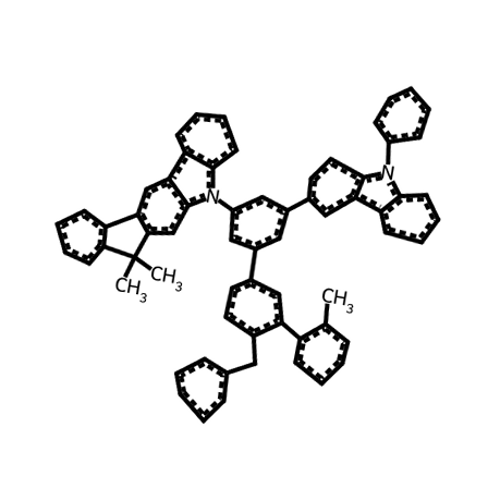 Cc1ccccc1-c1cc(-c2cc(-c3ccc4c(c3)c3ccccc3n4-c3ccccc3)cc(-n3c4ccccc4c4cc5c(cc43)C(C)(C)c3ccccc3-5)c2)ccc1Cc1ccccc1